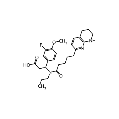 CCCN(C(=O)CCCCc1ccc2c(n1)NCCC2)[C@@H](CC(=O)O)c1ccc(OC)c(F)c1